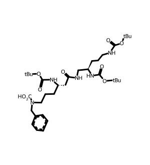 CC(C)(C)OC(=O)NCCC[C@H](CNC(=O)C[C@H](CCCN(Cc1ccccc1)C(=O)O)NC(=O)OC(C)(C)C)NC(=O)OC(C)(C)C